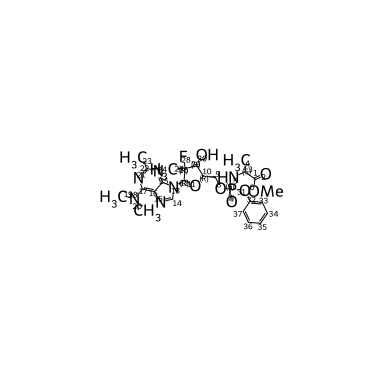 COC(=O)[C@H](C)N[P@](=O)(OC[C@H]1O[C@@H](n2cnc3c(N(C)C)nc(C)nc32)[C@](C)(F)[C@@H]1O)Oc1ccccc1